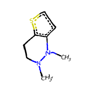 CN1CCc2sccc2N1C